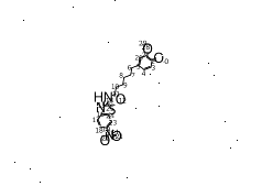 COc1ccc(CCCCCC(=O)Nc2nc3ccc([N+](=O)[O-])cc3s2)cc1OC